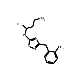 Cc1ccccc1Cc1nsc(NC(C)CCN)n1